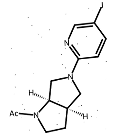 CC(=O)N1CC[C@@H]2CN(c3ccc(I)cn3)C[C@@H]21